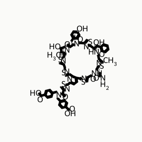 Cc1sc2nc1C(=O)N[C@@H]([C@H](O)c1ccccc1)c1nc(cs1)C(=O)N[C@@H](Cc1ccc(O)cc1)C(=O)N1C[C@H](O)[C@H](C)[C@H]1c1nc(cs1)-c1nc(cs1)-c1nc(-c3nc(C(=O)N(Cc4ccc(C(=O)O)cc4)Cc4ccc(C(=O)O)cc4)cs3)ccc1-c1nc(cs1)C(=O)N[C@H]2CC(N)=O